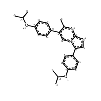 Cc1nc2ncc(-c3ccc(OC(C)C)cc3)n2cc1-c1ccc(OC(C)C)cc1